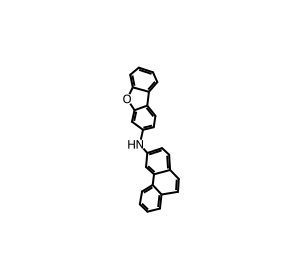 c1ccc2c(c1)ccc1ccc(Nc3ccc4c(c3)oc3ccccc34)cc12